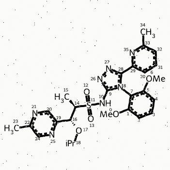 COc1cccc(OC)c1-n1c(NS(=O)(=O)[C@H](C)[C@H](OC(C)C)c2cnc(C)cn2)nnc1-c1cccc(C)n1